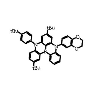 CC(C)(C)c1ccc(N2c3ccc(C(C)(C)C)cc3B3c4ccccc4N(c4ccc5c(c4)OCCO5)c4cc(C(C)(C)C)cc2c43)cc1